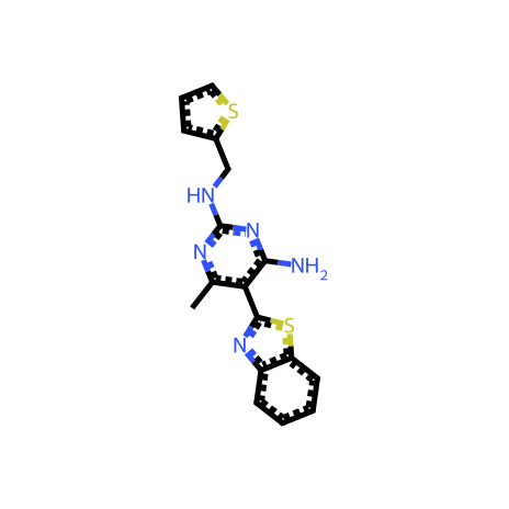 Cc1nc(NCc2cccs2)nc(N)c1-c1nc2ccccc2s1